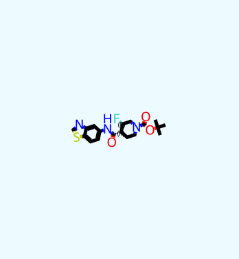 CC(C)(C)OC(=O)N1CC[C@H](C(=O)Nc2ccc3scnc3c2)[C@@H](F)C1